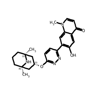 Cn1ccc(=O)c2cc(O)c(-c3ccc(O[C@H]4C[C@]5(C)CCC[C@](C)(C4)N5)nn3)cc21